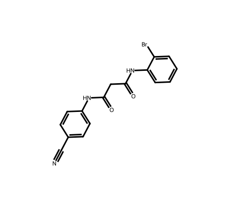 N#Cc1ccc(NC(=O)CC(=O)Nc2ccccc2Br)cc1